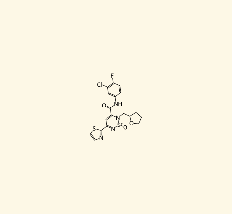 O=C(Nc1ccc(F)c(Cl)c1)C1=CC(c2nccs2)=N[S+]([O-])N1CC1CCCO1